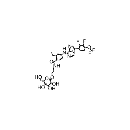 CCc1cc(Nc2nccn3c(-c4ccc(OC(F)F)c(F)c4F)cnc23)ccc1C(=O)NCCCO[C@H]1O[C@H](CO)[C@@H](O)[C@H](O)[C@H]1O